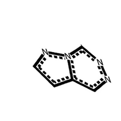 [c]1nncc2ccnn12